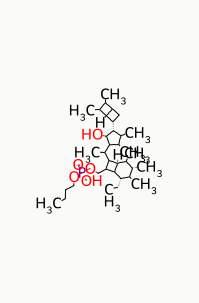 CCCCO[P@@](=O)(O)OCC1C(C(C)C2C(C)C(C)[C@@H](C3CC4C(C)C(C)[C@H]43)C2O)[C@H]2C(C)[C@H](C)C(C)[C@H](CC)C12